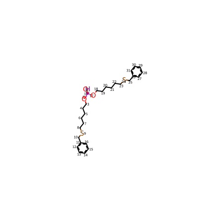 O=[PH](OCCCCCCSCc1ccccc1)OCCCCCCSCc1ccccc1